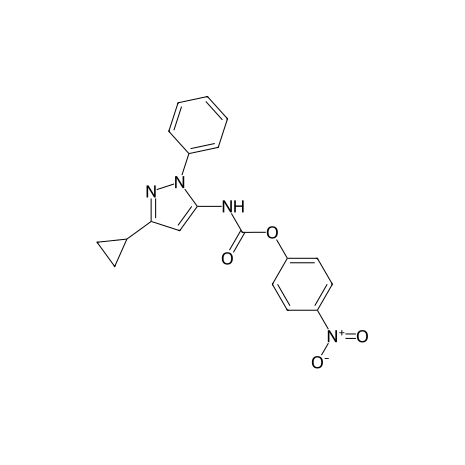 O=C(Nc1cc(C2CC2)nn1-c1ccccc1)Oc1ccc([N+](=O)[O-])cc1